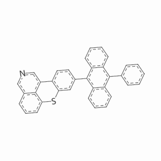 c1ccc(-c2c3ccccc3c(-c3ccc4c(c3)Sc3cccc5cncc-4c35)c3ccccc23)cc1